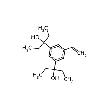 C=Cc1cc(C(O)(CC)CC)cc(C(O)(CC)CC)c1